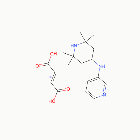 CC1(C)CC(Nc2cccnc2)CC(C)(C)N1.O=C(O)/C=C/C(=O)O